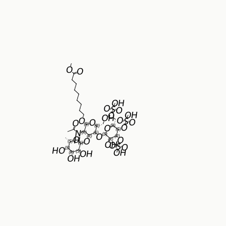 COC(=O)CCCCCCCCO[C@@H]1O[C@H](CO)[C@@H](O[C@@H]2O[C@H](COS(=O)(=O)O)[C@H](OS(=O)(=O)O)[C@H](OS(=O)(=O)O)[C@H]2O)[C@H](O[C@@H]2O[C@@H](C)[C@@H](O)[C@@H](O)[C@@H]2O)[C@H]1NC(C)=O